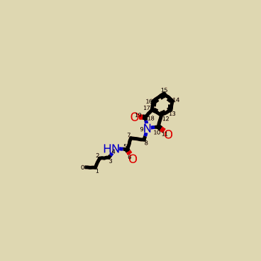 CCCCNC(=O)CCN1C(=O)c2ccccc2C1=O